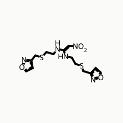 O=[N+]([O-])C=C(NCCSCc1ccon1)NCCSCc1ccon1